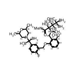 BC(B)(c1ccc(F)c(COc2cccc(C=O)c2CN(C)C(O)(C(=O)NC)C(B)(B)C(B)(B)C=O)c1)N1CC(C)OC(C)C1